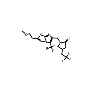 COCCc1nn2c(C(F)(F)F)c(CN3CC(CC(F)(F)Cl)CC3=O)nc2s1